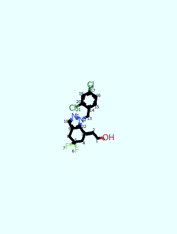 OC/C=C1\CC(F)(F)Cc2cnn(Cc3ccc(Cl)cc3Cl)c21